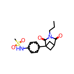 CCCN1C(=O)C2CC(c3ccc(NS(C)(=O)=O)cc3)(C2)C1=O